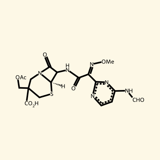 CON=C(C(=O)NC1C(=O)N2CC(COC(C)=O)(C(=O)O)CS[C@H]12)c1nccc(NC=O)n1